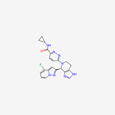 O=C(NC1CC1)c1ccc(N2CCc3[nH]cnc3[C@H]2c2cc3c(F)cccn3n2)nn1